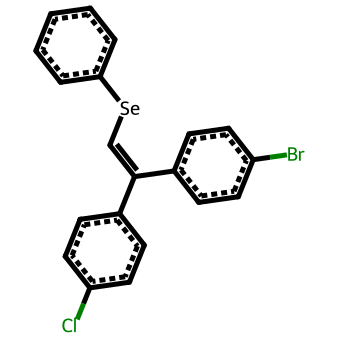 Clc1ccc(C(=C[Se]c2ccccc2)c2ccc(Br)cc2)cc1